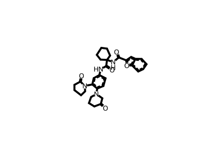 O=C1CCCN(c2ccc(NC(=O)C3(NC(=O)c4cc5ccccc5o4)CCCCC3)cc2N2CCCCC2=O)C1